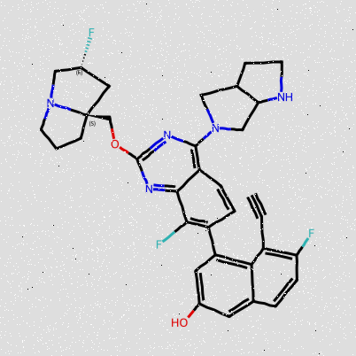 C#Cc1c(F)ccc2cc(O)cc(-c3ccc4c(N5CC6CCNC6C5)nc(OC[C@@]56CCCN5C[C@H](F)C6)nc4c3F)c12